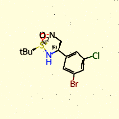 CC(C)(C)[S@@+]([O-])N[C@@H](C[N+](=O)[O-])c1cc(Cl)cc(Br)c1